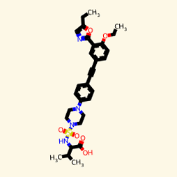 CCOc1ccc(C#Cc2ccc(N3CCN(S(=O)(=O)NC(C(=O)O)C(C)C)CC3)cc2)cc1-c1ncc(CC)o1